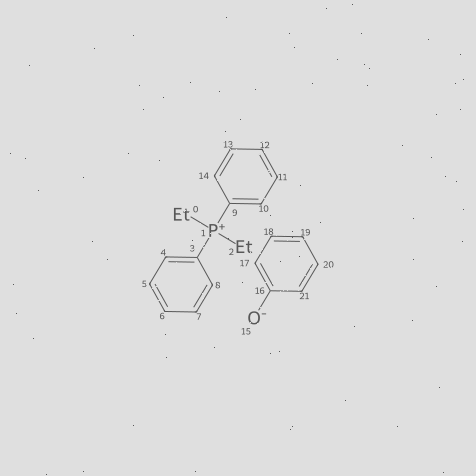 CC[P+](CC)(c1ccccc1)c1ccccc1.[O-]c1ccccc1